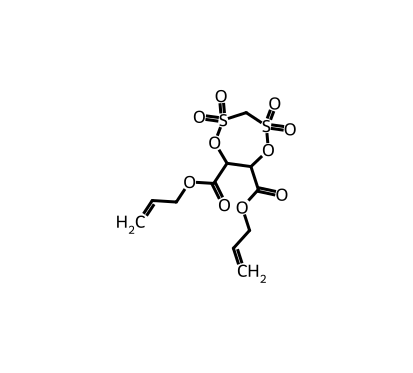 C=CCOC(=O)C1OS(=O)(=O)CS(=O)(=O)OC1C(=O)OCC=C